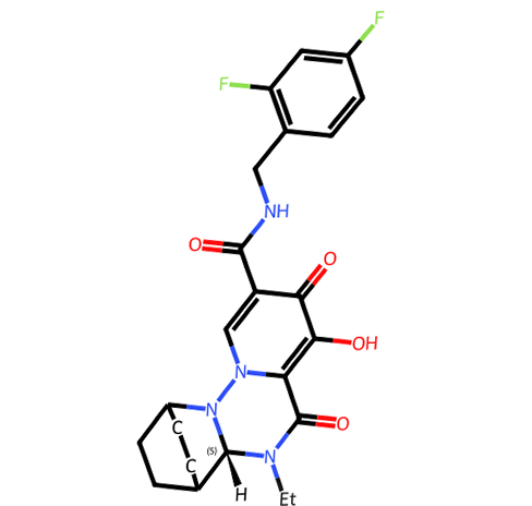 CCN1C(=O)c2c(O)c(=O)c(C(=O)NCc3ccc(F)cc3F)cn2N2C3CCC(CC3)[C@@H]12